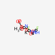 COc1cc2c(Oc3ccc(NC(=O)C4(C(=O)Nc5ccc(F)cc5)CC4)cc3F)ccnc2cc1OCCCCC(=O)[O-].[K+]